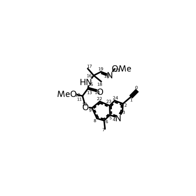 C#Cc1cnc2c(C)cc(OC(OC)C(=O)NC(C)(C)C=NOC)cc2c1